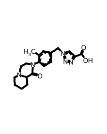 Cc1cc(Cn2cc(C(=O)O)nn2)ccc1N1CCN2CCCCC2C1=O